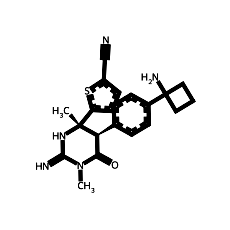 CN1C(=N)N[C@](C)(c2ccc(C#N)s2)[C@@H](c2ccc(C3(N)CCC3)cc2)C1=O